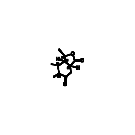 C[C@@H]1[C@@H]2[C@@H](C)OC(=O)[C@@H]2CC(=O)[C@H]1C